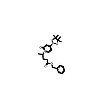 CC(CCC(=O)OCc1ccccc1)n1ccc(B2OC(C)(C)C(C)(C)O2)cc1=O